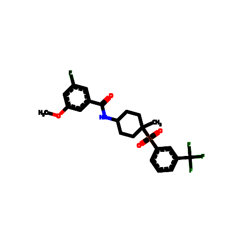 COc1cc(F)cc(C(=O)NC2CCC(C)(S(=O)(=O)c3cccc(C(F)(F)F)c3)CC2)c1